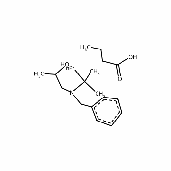 CCCC(=O)O.CCCC(C)(C)N(Cc1ccccc1)CC(C)O